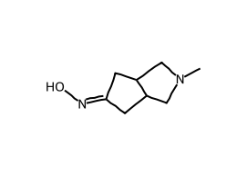 CN1CC2CC(=NO)CC2C1